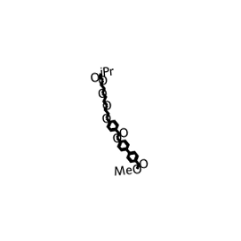 COC(=O)c1ccc(-c2ccc(OC(=O)c3ccc(OCCOCCOCCOC(=O)C(C)C)cc3)cc2)cc1